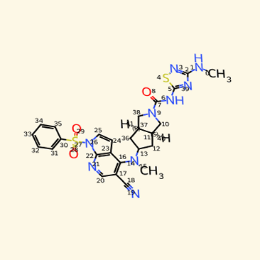 CNc1nsc(NC(=O)N2C[C@H]3CC(N(C)c4c(C#N)cnc5c4ccn5S(=O)(=O)c4ccccc4)C[C@H]3C2)n1